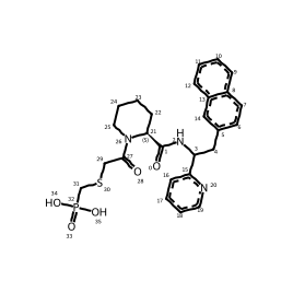 O=C(NC(Cc1ccc2ccccc2c1)c1ccccn1)[C@@H]1CCCCN1C(=O)CSCP(=O)(O)O